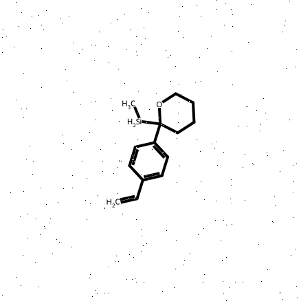 C=Cc1ccc(C2([SiH2]C)CCCCO2)cc1